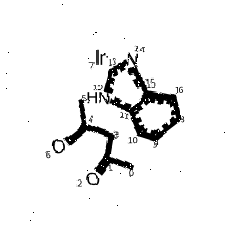 CC(=O)CC(C)=O.[Ir].c1ccc2[nH]cnc2c1